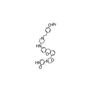 CC(C)Oc1ccc(CCN2CCC(Nc3ccc4c(c3)Cc3cccc(C5CN(c6cc[nH]c(=O)c6)CCO5)c3O4)CC2)cc1